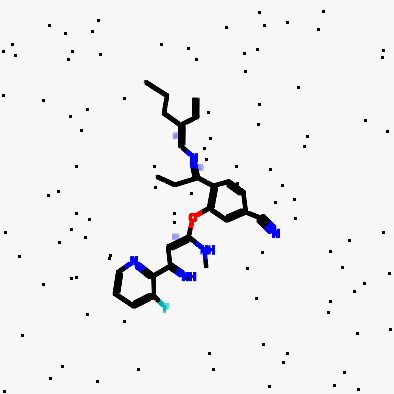 C=C/C(=C\N=C(/CC)c1ccc(C#N)cc1O/C(=C/C(=N)c1ncccc1F)NC)CCC